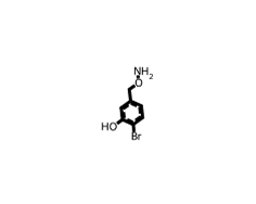 NOCc1ccc(Br)c(O)c1